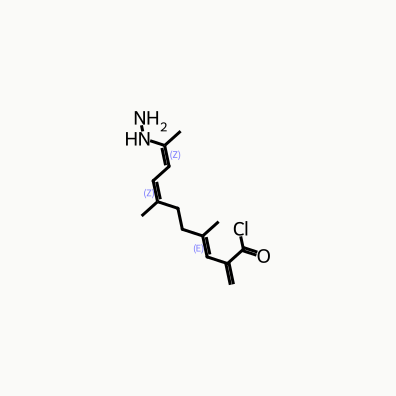 C=C(/C=C(\C)CC/C(C)=C\C=C(\C)NN)C(=O)Cl